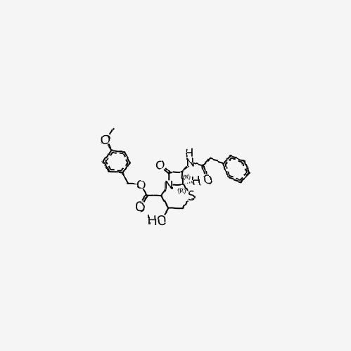 COc1ccc(COC(=O)C2C(O)CS[C@@H]3[C@H](NC(=O)Cc4ccccc4)C(=O)N23)cc1